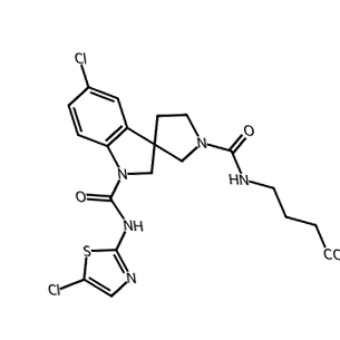 O=C(O)CCCNC(=O)N1CCC2(C1)CN(C(=O)Nc1ncc(Cl)s1)c1ccc(Cl)cc12